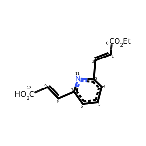 CCOC(=O)C=Cc1cccc(C=CC(=O)O)n1